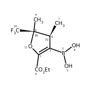 CCOC(=O)C1=C(B(O)O)[C@H](C)[C@](C)(C(F)(F)F)O1